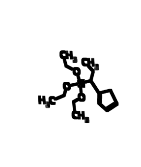 CCO[Si](OCC)(OCC)C(CC)C1=CC=CC1